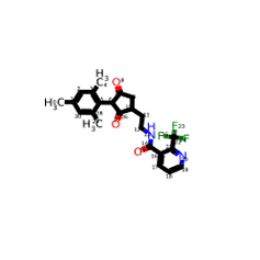 Cc1cc(C)c(C2C(=O)CC(CCNC(=O)c3cccnc3C(F)(F)F)C2=O)c(C)c1